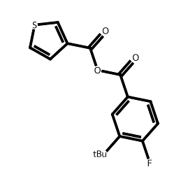 CC(C)(C)c1cc(C(=O)OC(=O)c2ccsc2)ccc1F